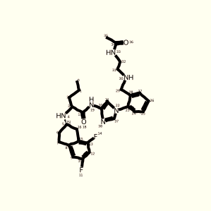 CCCC(N[C@H]1CCc2cc(F)cc(F)c2C1)C(=O)Nc1cn(-c2ccccc2CNCCNC(C)=O)cn1